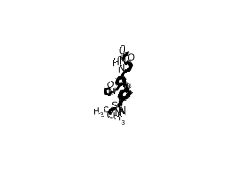 CC(C)c1nnc(-c2ccc(Oc3cc(-c4ccc5c(n4)NC(=O)CO5)ccc3CN3CCCC3=O)cc2)s1